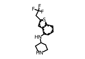 FC(F)(F)Cc1cc2c(NC3CCNCC3)cccc2s1